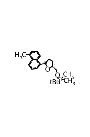 Cc1cccc2c([C@H]3CC[C@@H](CO[Si](C)(C)C(C)(C)C)O3)cccc12